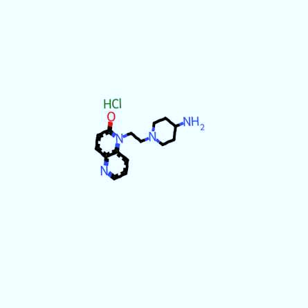 Cl.NC1CCN(CCn2c(=O)ccc3ncccc32)CC1